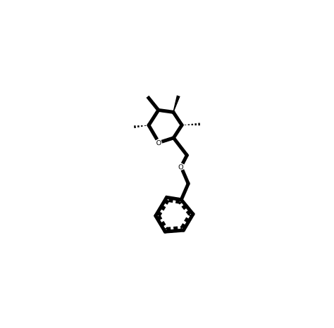 CC1[C@@H](C)[C@H](C)C(COCc2ccccc2)O[C@@H]1C